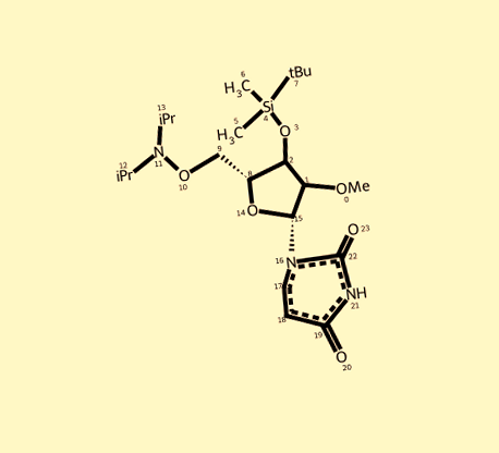 COC1C(O[Si](C)(C)C(C)(C)C)[C@@H](CON(C(C)C)C(C)C)O[C@H]1n1ccc(=O)[nH]c1=O